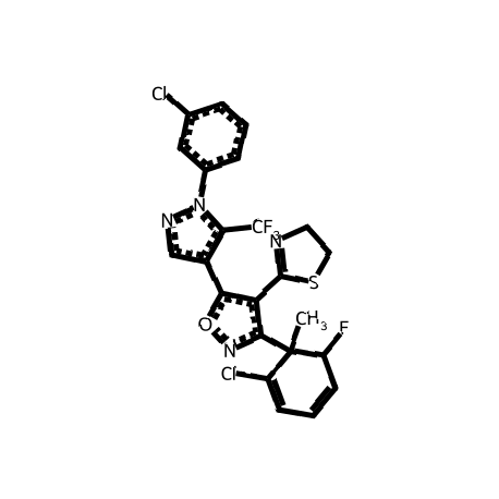 CC1(c2noc(-c3cnn(-c4cccc(Cl)c4)c3C(F)(F)F)c2C2=NCCS2)C(Cl)=CC=CC1F